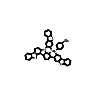 CC(C)(C)c1ccc(N2B3c4cc5oc6ccccc6c5cc4-n4c5ccc6c7ccccc7oc6c5c5ccc(c3c54)-c3cc4sc5ccccc5c4cc32)cc1